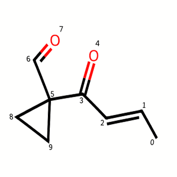 CC=CC(=O)C1(C=O)CC1